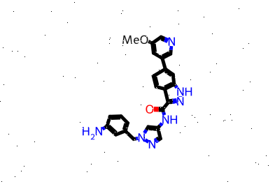 COc1cncc(-c2ccc3c(C(=O)Nc4cnn(Cc5cccc(N)c5)c4)n[nH]c3c2)c1